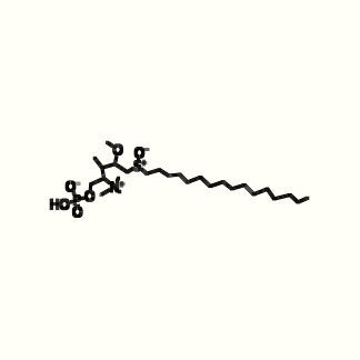 CCCCCCCCCCCCCCCC[S+]([O-])CC(OC)C(C)C(COP(=O)([O-])O)[N+](C)(C)C